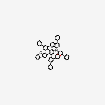 c1ccc(-c2ccc(N(c3ccc(-c4ccccc4)cc3)c3cc(-c4ccc(-c5ccccc5)cc4-c4ccccc4)c(-c4ccc5c(c4)oc4ccccc45)c(-c4ccc(-c5ccccc5)cc4-c4ccccc4)c3)cc2)cc1